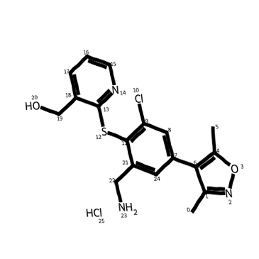 Cc1noc(C)c1-c1cc(Cl)c(Sc2ncccc2CO)c(CN)c1.Cl